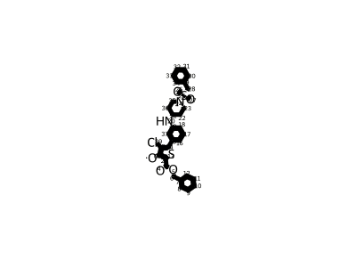 [O]c1c(C(=O)OCc2ccccc2)sc(-c2cccc(NC3CCN(S(=O)(=O)Cc4ccccc4)CC3)c2)c1Cl